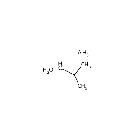 O.[AlH3].[CH2]C(C)C